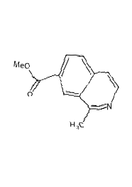 COC(=O)c1ccc2ccnc(C)c2c1